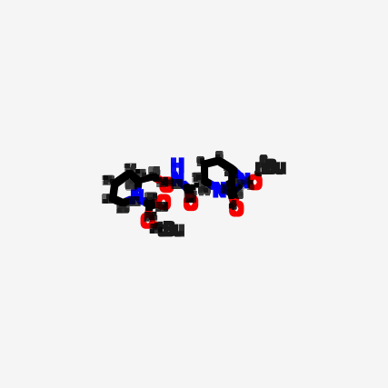 CCCCON1C(=O)N2CC1CC[C@H]2C(=O)NOC[C@@H]1CCCCN1C(=O)OC(C)(C)C